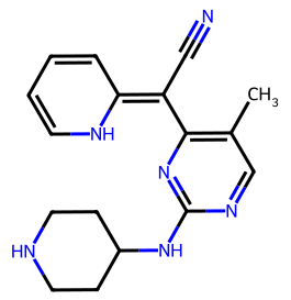 Cc1cnc(NC2CCNCC2)nc1/C(C#N)=C1/C=CC=CN1